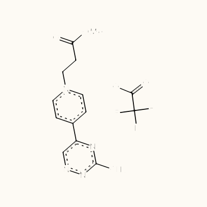 COC(=O)CC[n+]1ccc(-c2cnnc(C)n2)cc1.O=C([O-])C(F)(F)F